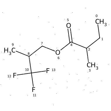 CCC(C)C(=O)OCC(C)C(F)(F)F